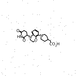 O=C(O)CC1CCN(c2cccc3c2OCCN3C2CCC(=O)NC2=O)CC1